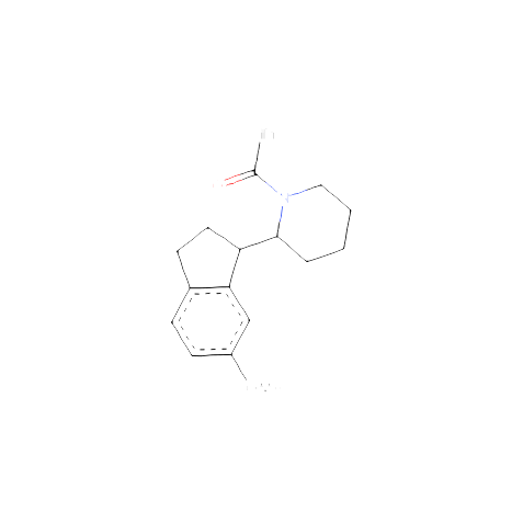 COc1ccc2c(c1)C(C1CCCCN1C(=O)C(C)C)CC2